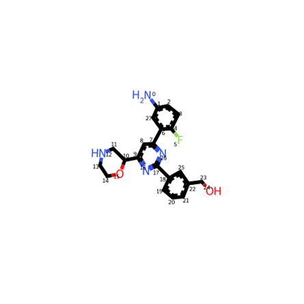 Nc1ccc(F)c(-c2cc(C3CNCCO3)nc(-c3cccc(CO)c3)n2)c1